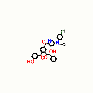 O=C(c1ccc(C(=O)c2cccc(O)c2)c(C(=O)C(O)c2ccccc2)c1)c1ccc(N(CC2CC2)c2ccc(Cl)cc2)cn1